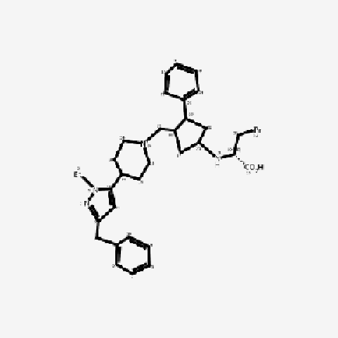 CCn1nc(Cc2ccccc2)cc1C1CCN(CC2CC(N[C@H](CC(C)C)C(=O)O)CC2c2ccccc2)CC1